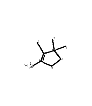 CC1=C([SiH3])CCC1(C)C